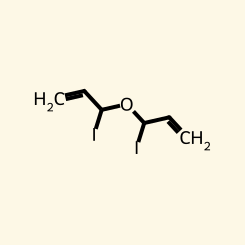 C=CC(I)OC(I)C=C